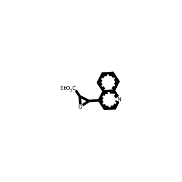 CCOC(=O)C1OC1c1ccnc2ccccc12